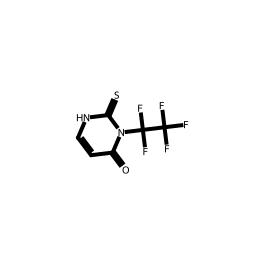 O=c1cc[nH]c(=S)n1C(F)(F)C(F)(F)F